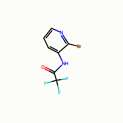 O=C(Nc1cccnc1Br)C(F)(F)F